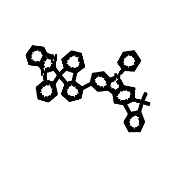 CC1(C)c2ccccc2-c2cc3c4cc(-c5cccc6c5-c5ccccc5C65c6ccccc6-n6c5nc5ccccc56)ccc4n(-c4ccccc4)c3cc21